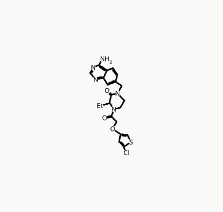 CCC1C(=O)N(Cc2ccc3c(N)ncnc3c2)CCN1C(=O)COc1csc(Cl)c1